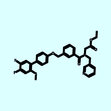 CCOC(=O)CN(Cc1cccnc1)C(=O)c1cccc(COc2ccc(-c3cc(F)c(F)cc3SC)cc2)c1